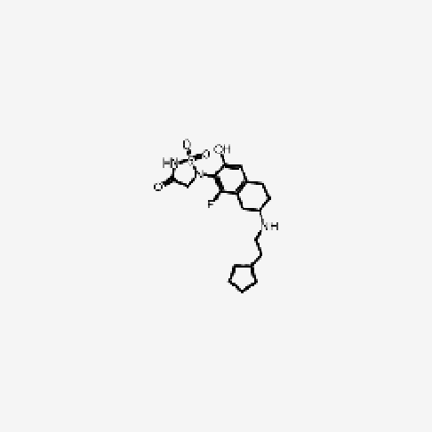 O=C1CN(c2c(O)cc3c(c2F)C[C@H](NCCC2CCCC2)CC3)S(=O)(=O)N1